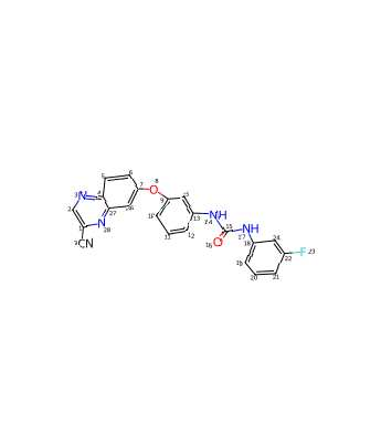 N#Cc1cnc2ccc(Oc3cccc(NC(=O)Nc4cccc(F)c4)c3)cc2n1